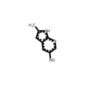 Cc1cc2cc(N=O)cnc2[nH]1